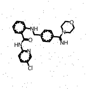 N=C(c1ccc(CNc2ccccc2C(=O)Nc2ccc(Cl)cn2)cc1)N1CCOCC1